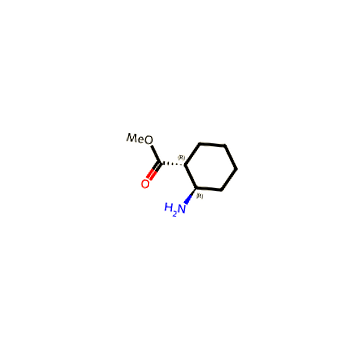 COC(=O)[C@@H]1CCCC[C@H]1N